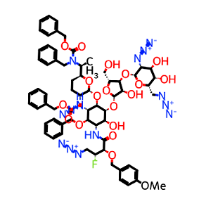 COc1ccc(CO[C@H](C(=O)N[C@H]2[C@H](O)[C@@H](O[C@@H]3O[C@H](CO)[C@@H](O[C@H]4O[C@@H](CN=[N+]=[N-])[C@@H](O)[C@H](O)[C@H]4N=[N+]=[N-])[C@H]3O)[C@H](O[C@H]3O[C@H]([C@H](C)N(Cc4ccccc4)C(=O)OCc4ccccc4)CC[C@H]3N=[N+]=[N-])[C@@H](NC(=O)OCc3ccccc3)[C@@H]2OCc2ccccc2)[C@H](F)CN=[N+]=[N-])cc1